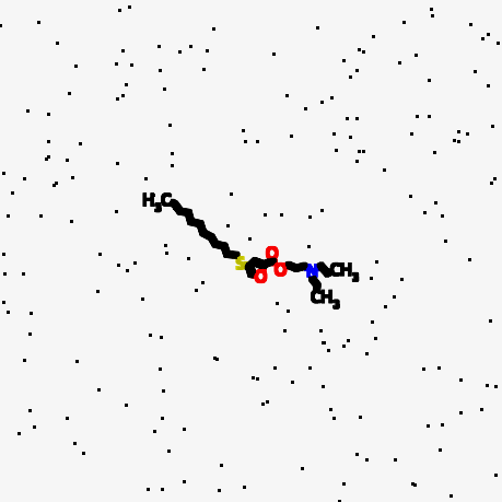 CCCCCCCCCCCCSc1coc(C(=O)OCCCN(CCC)CCC)c1